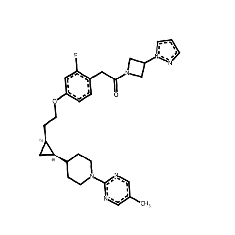 Cc1cnc(N2CCC([C@H]3C[C@H]3CCOc3ccc(CC(=O)N4CC(n5cccn5)C4)c(F)c3)CC2)nc1